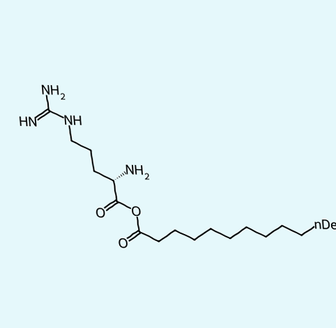 CCCCCCCCCCCCCCCCCCCC(=O)OC(=O)[C@@H](N)CCCNC(=N)N